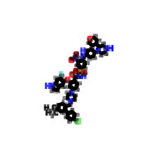 CC1(C)CCC(CN2CCN(c3ccc(C(=O)NS(=O)(=O)c4ccc(NC5CCC(N6CCNCC6C6CCOCC6)CC5)c([N+](=O)[O-])c4)c(Oc4cc5cc[nH]c5cc4F)c3)CC2)=C(c2ccc(Cl)cc2)C1